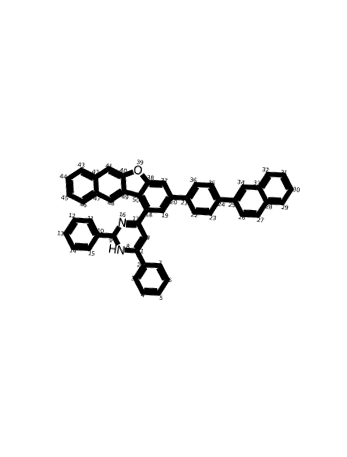 C1=C(c2ccccc2)NC(c2ccccc2)N=C1c1cc(-c2ccc(-c3ccc4ccccc4c3)cc2)cc2oc3cc4ccccc4cc3c12